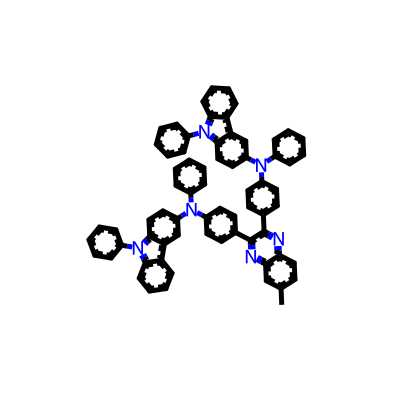 Cc1ccc2nc(-c3ccc(N(c4ccccc4)c4ccc5c(c4)c4ccccc4n5-c4ccccc4)cc3)c(-c3ccc(N(c4ccccc4)c4ccc5c(c4)c4ccccc4n5-c4ccccc4)cc3)nc2c1